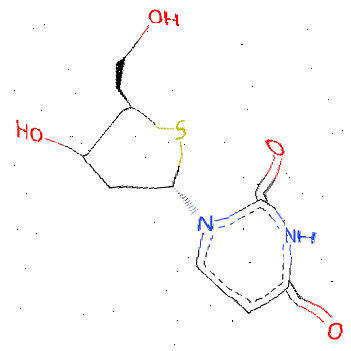 O=c1ccn([C@@H]2CC(O)[C@@H](CO)S2)c(=O)[nH]1